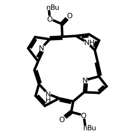 CCCCOC(=O)c1c2nc(cc3ccc([nH]3)c(C(=O)OCCCC)c3nc(cc4ccc1[nH]4)C=C3)C=C2